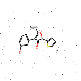 CNC1=C(c2cccc(Br)c2)C(=O)C(c2cccs2)O1